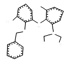 CCN(CC)c1cccc(C)c1Pc1cccc(C)c1OCc1ccccc1